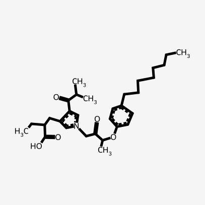 CCCCCCCCc1ccc(OC(C)C(=O)Cn2cc(CC(CC)C(=O)O)c(C(=O)C(C)C)c2)cc1